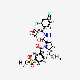 CC[C@@H]1CC[C@H](C(=O)NC(c2ccc(F)cc2F)C2COC2)N1C(=O)c1cccc(S(C)(=O)=O)c1